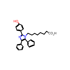 O=C(O)CCCCCCCn1c(-c2ccc(O)cc2)nc(-c2ccccc2)c1-c1ccccc1